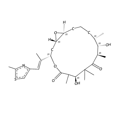 CC(=Cc1csc(C)n1)[C@@H]1C[C@@H]2O[C@H]2CCC[C@H](C)[C@H](O)[C@@H](C)C(=O)C(C)(C)[C@@H](O)C(C)C(=O)O1